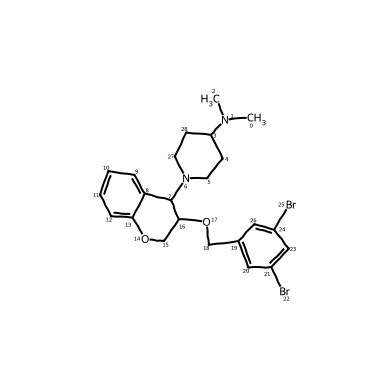 CN(C)C1CCN(C2c3ccccc3OCC2OCc2cc(Br)cc(Br)c2)CC1